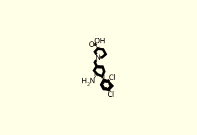 N[C@@H]1CC(CN2CCC[C@@H](C(=O)O)C2)=CC[C@H]1c1ccc(Cl)cc1Cl